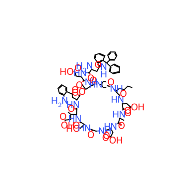 CCCCC1NC(=O)CNC(=O)C(NC(=O)C(CC(=O)O)NC(=O)C(N)CC(=O)NC(c2ccccc2)(c2ccccc2)c2ccccc2)C(C)OC(=O)C(CC(=O)c2ccccc2N)NC(=O)C(C(C)CC(=O)O)NC(=O)C(CO)NC(=O)CNC(=O)C(CC(=O)O)NC(=O)C(C)NC(=O)C(CC(=O)O)NC1=O